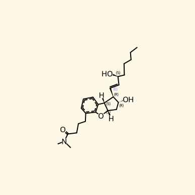 CCCCC[C@H](O)/C=C/[C@@H]1[C@H]2c3cccc(CCCC(=O)N(C)C)c3O[C@H]2C[C@H]1O